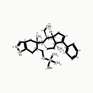 CC(C)(C)[Si](C)(C)OC[C@H]1Cc2[nH]ncc2C[C@]1(C)[C@H]1CC[C@]2(C)C(c3ccccc3)=CC[C@H]2[C@@H]1CO